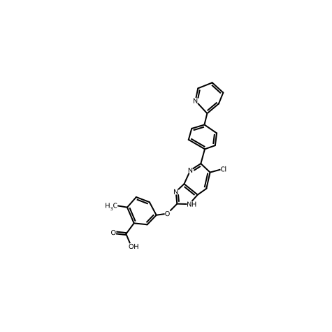 Cc1ccc(Oc2nc3nc(-c4ccc(-c5ccccn5)cc4)c(Cl)cc3[nH]2)cc1C(=O)O